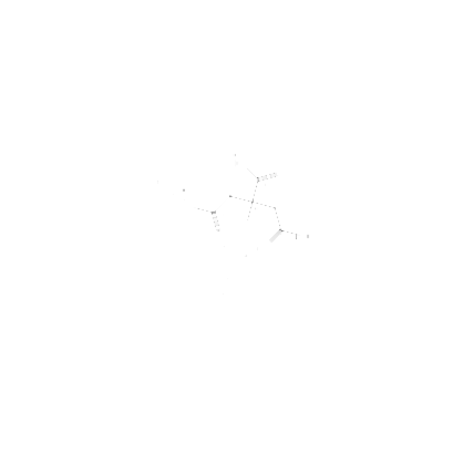 O.O.O.O.O.O.O=C(O)CC(O)(CC(=O)O)C(=O)O